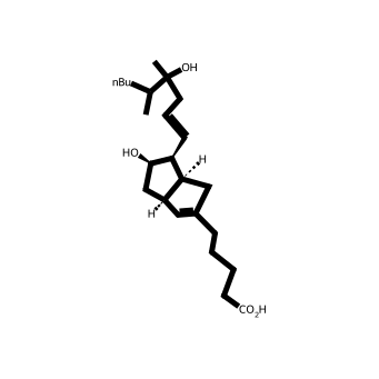 CCCCC(C)C(C)(O)C/C=C/[C@H]1[C@H]2CC(CCCCC(=O)O)=C[C@H]2C[C@H]1O